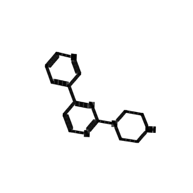 c1cncc(-c2ccnc(N3CCNCC3)n2)c1